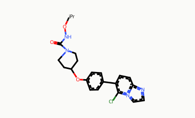 CC(C)ONC(=O)N1CCC(Oc2ccc(-c3ccc4nccn4c3Cl)cc2)CC1